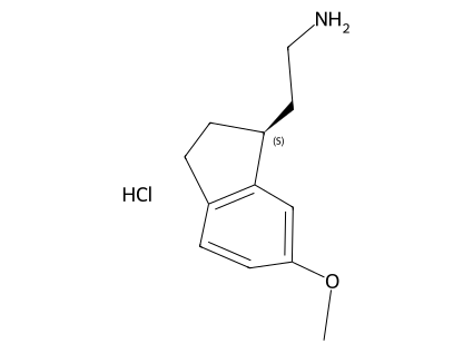 COc1ccc2c(c1)[C@H](CCN)CC2.Cl